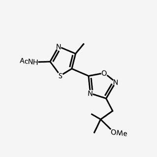 COC(C)(C)Cc1noc(-c2sc(NC(C)=O)nc2C)n1